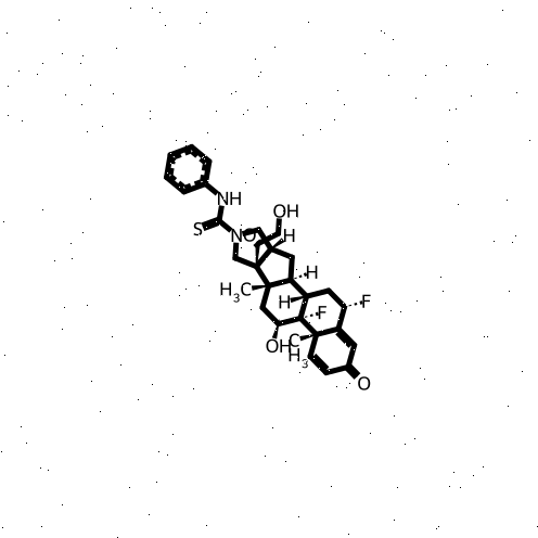 C[C@]12C=CC(=O)C=C1[C@@H](F)C[C@H]1[C@@H]3C[C@H]4CN(C(=S)Nc5ccccc5)C[C@@]4(C(=O)CO)[C@@]3(C)C[C@H](O)[C@@]12F